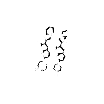 O=c1oc2nc(N3CCCNCC3)ccc2cc1-c1cn2ccccc2n1.O=c1oc2nc(N3CCNCC3)ccc2cc1-c1cn2ccsc2n1